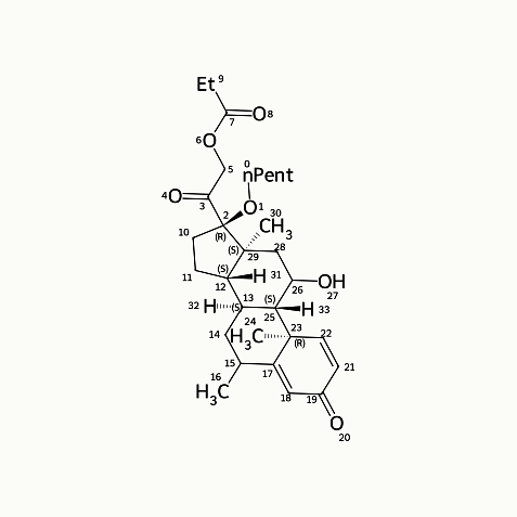 CCCCCO[C@]1(C(=O)COC(=O)CC)CC[C@H]2[C@@H]3CC(C)C4=CC(=O)C=C[C@]4(C)[C@H]3C(O)C[C@@]21C